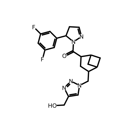 O=C(C1CC(Cn2cc(CO)nn2)C2CC1C2)N1N=CCC1c1cc(F)cc(F)c1